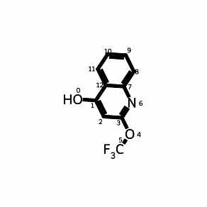 Oc1cc(OC(F)(F)F)nc2ccccc12